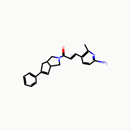 Cc1nc(N)ccc1/C=C/C(=O)N1CC2C=C(c3ccccc3)CC2C1